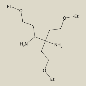 CCOCCC(N)C(N)(CCOCC)CCOCC